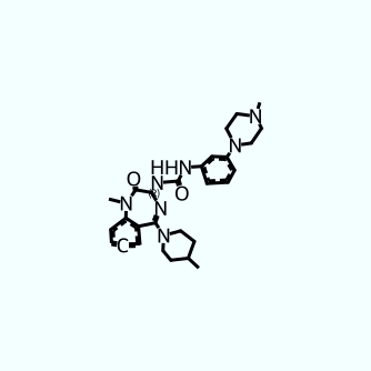 CC1CCN(C2=N[C@@H](NC(=O)Nc3cccc(N4CCN(C)CC4)c3)C(=O)N(C)c3ccccc32)CC1